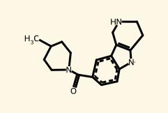 CC1CCN(C(=O)c2ccc3c(c2)C2=C(CCNC2)[N]3)CC1